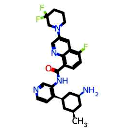 C[C@@H]1C[C@H](N)C[C@H](c2ccncc2NC(=O)c2ccc(F)c3cc(N4CCCC(F)(F)C4)cnc23)C1